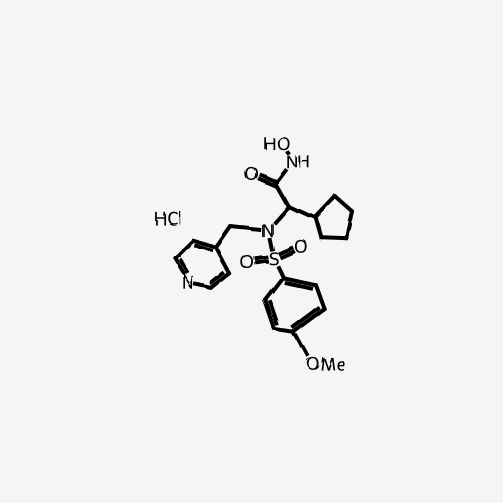 COc1ccc(S(=O)(=O)N(Cc2ccncc2)C(C(=O)NO)C2CCCC2)cc1.Cl